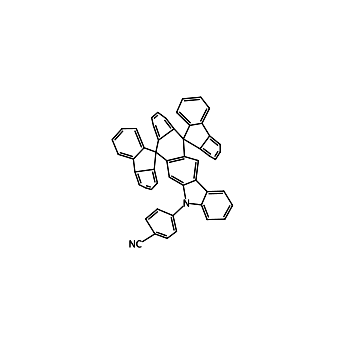 N#Cc1ccc(-n2c3ccccc3c3cc4c(cc32)C2(c3ccccc3-c3ccccc32)c2ccccc2C42c3ccccc3-c3ccccc32)cc1